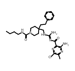 CCCCNC(=O)N1CCC(CCc2ccccc2)(CN/C(N)=N/C(=O)c2nc(Cl)c(C)nc2N)CC1